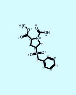 COC(=O)C1CC(S(=O)(=O)Cc2ccccc2)CN1C(=O)O